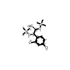 CCCC[C@@H](O[Si](C)(C)C)[C@H](O[Si](C)(C)C)c1ccc(Cl)cc1Cl